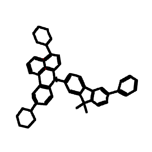 CC1(C)c2ccc(-c3ccccc3)cc2-c2ccc(N(c3ccc(C4CCCCC4)cc3)c3ccc(C4CCCCC4)cc3-c3ccccc3)cc21